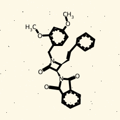 COc1ccc(CN2C(=O)[C@H](N3C(=O)c4ccccc4C3=O)[C@@H]2/C=C/c2ccccc2)c(OC)c1